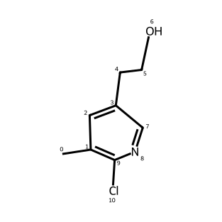 Cc1cc(CCO)cnc1Cl